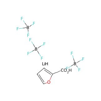 F[B-](F)(F)F.F[B-](F)(F)F.F[B-](F)(F)F.O=C(O)c1ccco1.[LiH]